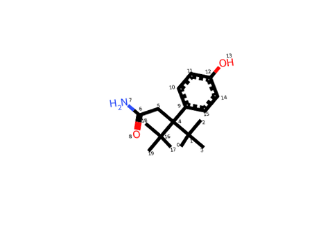 CC(C)(C)C(CC(N)=O)(c1ccc(O)cc1)C(C)(C)C